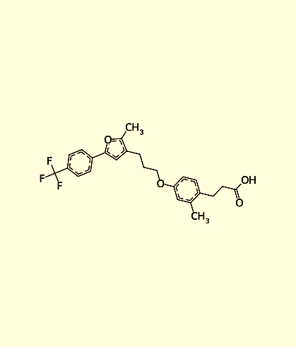 Cc1cc(OCCCc2cc(-c3ccc(C(F)(F)F)cc3)oc2C)ccc1CCC(=O)O